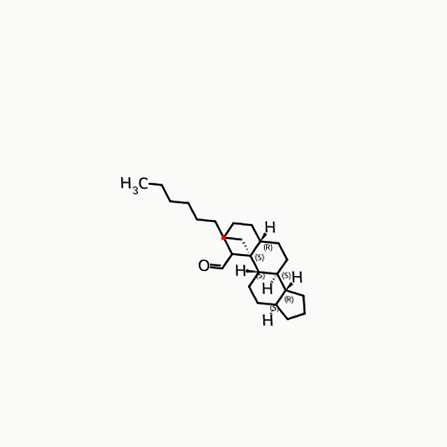 CCCCCCCC[C@]12C(C=O)CCC[C@@H]1CC[C@H]1[C@@H]3CCC[C@H]3CC[C@@H]12